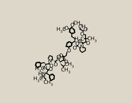 C=CC(=O)OCC(C)(C)C(=O)C(=O)N1CCCC[C@H]1C(=O)O[C@H](CCc1ccc(OC)c(OC)c1)c1cccc(OCCC(=O)C(=O)[C@H](CC(C)C)N(C)C(=O)[C@H]2CCCN2C(=O)[C@H](Cc2ccccc2)N(C)C(=O)C(NN(C)CC)c2ccccc2)c1